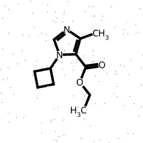 CCOC(=O)c1c(C)ncn1C1CCC1